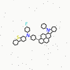 Fc1ccc(N(c2ccc(-c3ccc4ccc5cc6c7ccccc7n(-c7ccccc7)c6c6ccc3c4c56)cc2)c2ccc3c(c2)sc2ccccc23)cc1